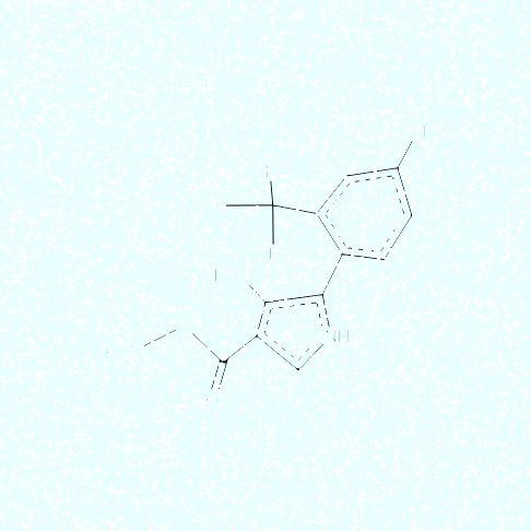 COC(=O)c1c[nH]c(-c2ccc(Cl)cc2C(F)(F)F)c1C